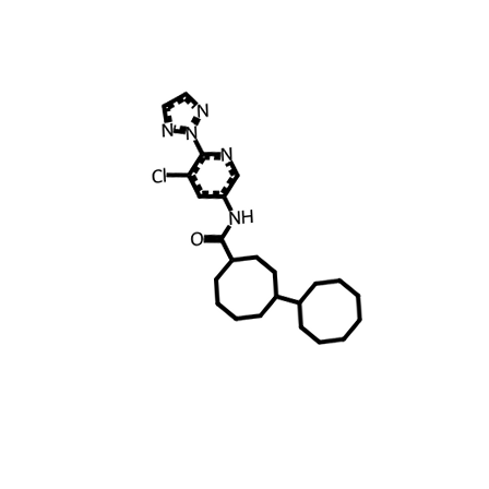 O=C(Nc1cnc(-n2nccn2)c(Cl)c1)C1CCCCC(C2CCCCCCC2)CC1